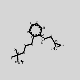 CCCC(C)(C)CCCc1ccccc1OCC1CO1